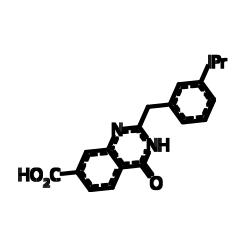 CC(C)c1cccc(Cc2nc3cc(C(=O)O)ccc3c(=O)[nH]2)c1